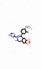 Cc1cc(C2=NN(c3nncs3)[C@H](C)Cc3cc4c(cc32)OCO4)ccc1[N+](=O)[O-]